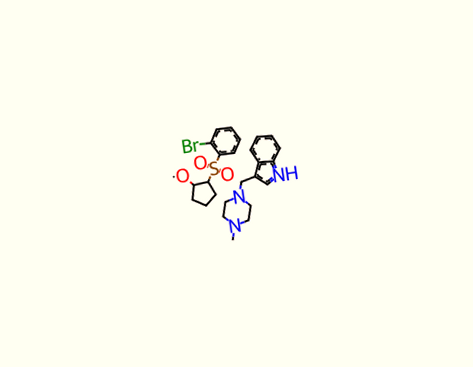 CN1CCN(Cc2c[nH]c3ccccc23)CC1.[O]C1CCCC1S(=O)(=O)c1ccccc1Br